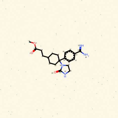 COC(=O)CCC1CCC(c2ccc(C(=N)N)cc2)(N2CCNC2=O)CC1